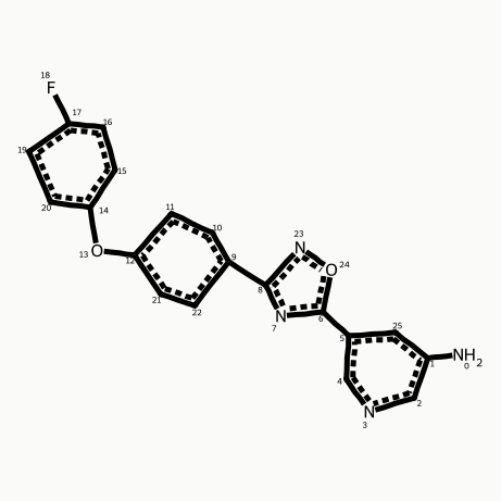 Nc1cncc(-c2nc(-c3ccc(Oc4ccc(F)cc4)cc3)no2)c1